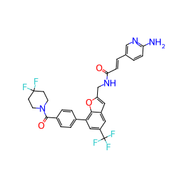 Nc1ccc(/C=C/C(=O)NCc2cc3cc(C(F)(F)F)cc(-c4ccc(C(=O)N5CCC(F)(F)CC5)cc4)c3o2)cn1